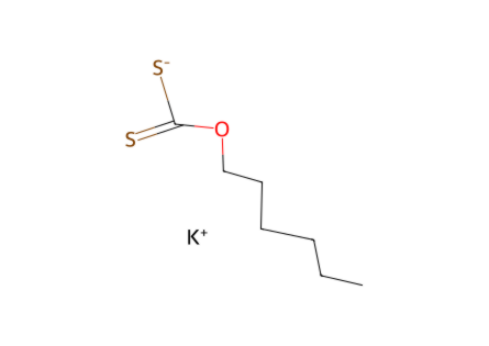 CCCCCCOC(=S)[S-].[K+]